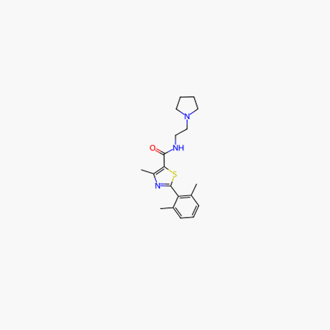 Cc1cccc(C)c1-c1nc(C)c(C(=O)NCCN2CCCC2)s1